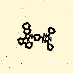 c1ccc(-c2nc(-c3ccccc3)nc(-c3ccc(-n4c5cc6ccccc6cc5c5c6ccccc6c6ccccc6c54)cc3)n2)cc1